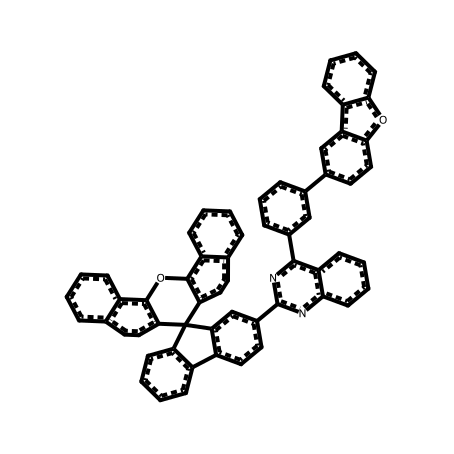 c1cc(-c2ccc3oc4ccccc4c3c2)cc(-c2nc(-c3ccc4c(c3)C3(c5ccccc5-4)c4ccc5ccccc5c4Oc4c3ccc3ccccc43)nc3ccccc23)c1